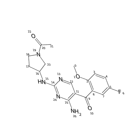 COc1ccc(F)cc1C(=O)c1cnc(NC2CCN(C(C)=O)C2)nc1N